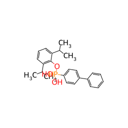 CC(C)c1cccc(C(C)C)c1O[PH](O)(O)c1ccc(-c2ccccc2)cc1